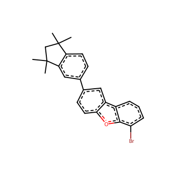 CC1(C)CC(C)(C)c2cc(-c3ccc4oc5c(Br)cccc5c4c3)ccc21